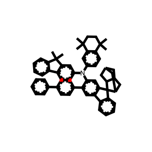 CC1(C)CCC(C)(C)c2cc(N(c3ccc4c(c3)C(C)(C)c3ccccc3-4)c3cc4c(cc3-c3ccc(-c5ccccc5)cc3)-c3ccccc3C43C4CC5CC(C4)C3C5)ccc21